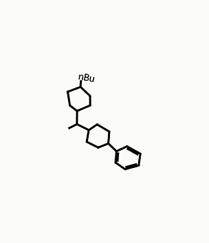 CCCCC1CCC(C(C)C2CCC(c3ccccc3)CC2)CC1